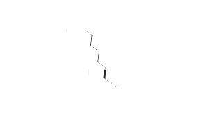 CCCCCCCCCCC=C[N+](C)(C)C.[Cl-]